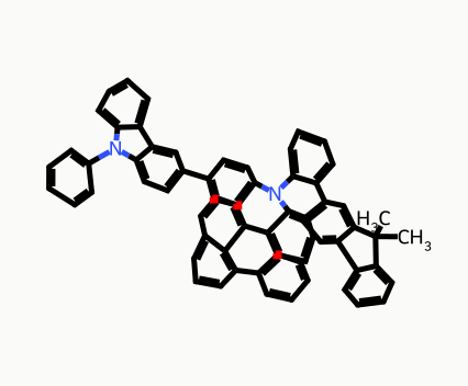 CC1(C)c2ccccc2-c2ccc(-c3ccccc3N(c3ccc(-c4ccc5c(c4)c4ccccc4n5-c4ccccc4)cc3)c3ccccc3-c3cccc4cccc(-c5ccccc5)c34)cc21